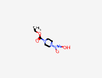 CCOC(=O)N1CCN(/[N+]([O-])=N/O)CC1